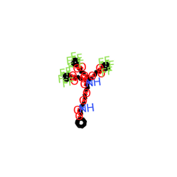 O=C(COC1C#CCCCCC1)NCCOCCOCCC(=O)NC(COCCC(=O)Oc1c(F)c(F)c(F)c(F)c1F)(COCCC(=O)Oc1c(F)c(F)c(F)c(F)c1F)COCCC(=O)Oc1c(F)c(F)c(F)c(F)c1F